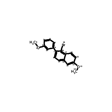 COc1cccc(-c2ccc3cc(OC)ccc3c2Br)c1